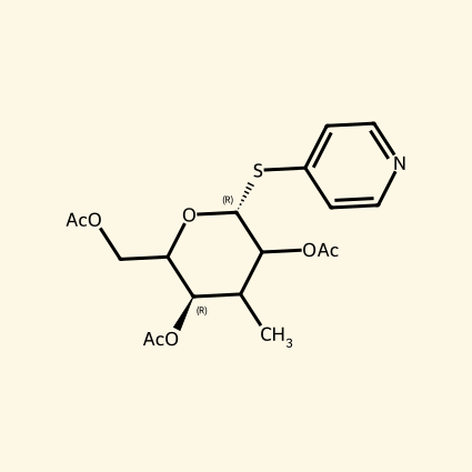 CC(=O)OCC1O[C@H](Sc2ccncc2)C(OC(C)=O)C(C)[C@H]1OC(C)=O